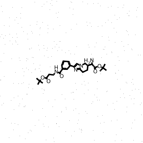 CC(C)(C)OC(=O)CCNC(=O)c1cccc(-c2cn3c(n2)CCC(C(N)C(=O)OC(C)(C)C)C3)c1